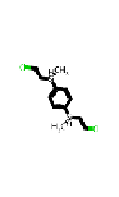 C[SiH](CCCl)c1ccc([SiH](C)CCCl)cc1